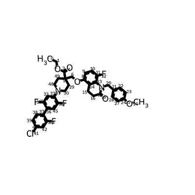 CCOC(=O)C1(COc2ccc(F)c3c2CCC(=O)N3Cc2ccc(OC)cc2)CCN(c2cc(F)c(-c3ccc(Cl)cc3F)cc2F)CC1